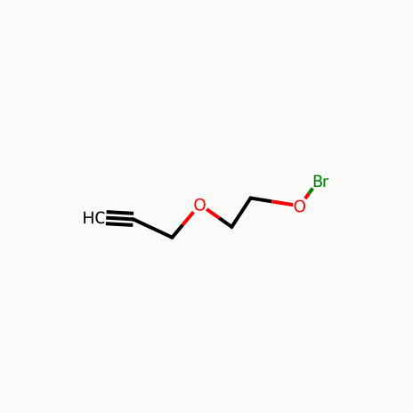 C#CCOCCOBr